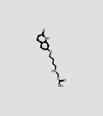 CC(C)(C)C(=O)OCNCCCCOc1ccc2ccc(=O)[nH]c2c1